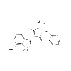 COc1cccc2c1S(=O)(=O)N=C2C1=C(O)[C@H](C(C)(C)C)N(Cc2ccc(F)cc2)C1=O